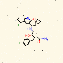 CC(C)[C@@H](F)c1cnc2c(c1)[C@@H](NC[C@H](O)[C@H](CC(N)=O)Cc1ccc(F)cc1)CC1(CCC1)O2